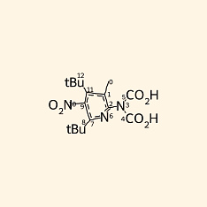 Cc1c(N(C(=O)O)C(=O)O)nc(C(C)(C)C)c([N+](=O)[O-])c1C(C)(C)C